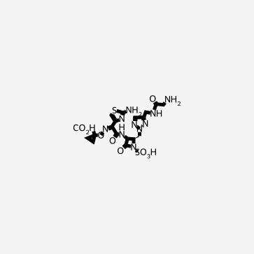 NCC(=O)NCc1cnn(C[C@H]2C(NC(=O)/C(=N\OC3(C(=O)O)CC3)c3csc(N)n3)C(=O)N2S(=O)(=O)O)n1